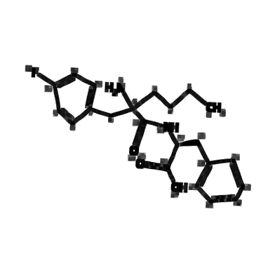 CCCCC(N)(Cc1ccc(F)cc1)C(=O)N[C@@H](Cc1ccccc1)C(=O)O